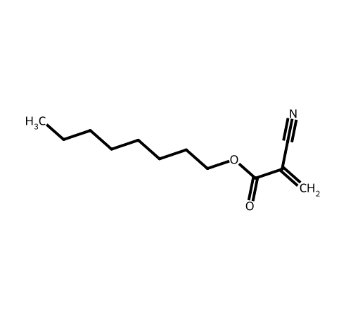 C=C(C#N)C(=O)OCCCCCCCC